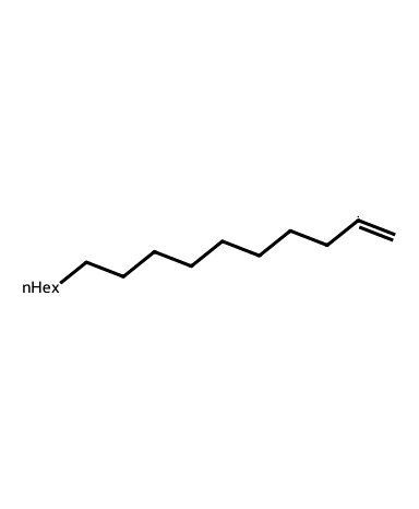 C=[C]CCCCCCCCCCCCCC